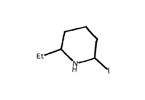 CCC1CCCC(I)N1